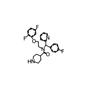 O=C(C1CCNCC1)N(CCOc1cc(F)ccc1F)C(c1ccc(F)cc1)c1ccccn1